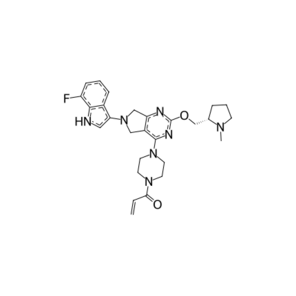 C=CC(=O)N1CCN(c2nc(OC[C@@H]3CCCN3C)nc3c2CN(c2c[nH]c4c(F)cccc24)C3)CC1